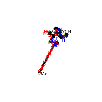 COCCOCCOCCOCCOCCOCCOCCOCCOCCOCCOCCOCCn1cc([C@H](CC(=O)N[C@H](C(=O)N[C@@H](C)C(=O)Nc2ccc(COC(=O)N(CCOC34CC5(C)CC(C)(CC(Cn6ncc(-c7ccc(N8CCc9cccc(C(=O)Nc%10nc%11ccccc%11s%10)c9C8)nc7C(=O)O)c6C)(C5)C3)C4)CCS(=O)(=O)O)c(CC[C@@H]3O[C@H](C(=O)O)[C@H](O)[C@@H](O)[C@H]3O)c2)C(C)C)N2C(=O)C=CC2=O)nn1